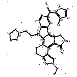 CCn1cc2c(n1)CCc1c-2c2c(c3c4cc(C(=O)c5sccc5C)ccc4n(CCN4CCCC4)c13)CNC2=O